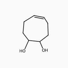 OC1CC/C=C\CCC1O